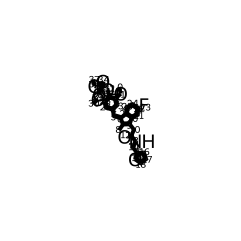 COc1cc(/C=C2/C(C)=C(CC(=O)NCc3ccco3)c3cc(F)ccc32)cc(OC)c1OP(=O)(O)OC